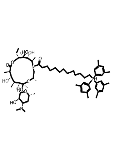 CC[C@H]1OC(=O)[C@H](C)[C@@H](O)[C@H](C)[C@@H](O[C@@H]2O[C@H](C)C[C@H](N(C)C)[C@H]2O)[C@](C)(O)C[C@@H](C)CN(C(=O)CCCCCCCCCCCC[PH](c2cc(C)cc(C)c2)(c2cc(C)cc(C)c2)c2cc(C)cc(C)c2)[C@H](C)[C@@H](O)[C@]1(C)O